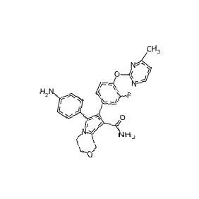 Cc1ccnc(Oc2ccc(-c3c(C(N)=O)c4n(c3-c3ccc(N)cc3)CCOC4)cc2F)n1